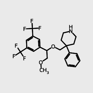 COCC(OCC1(c2ccccc2)CCNCC1)c1cc(C(F)(F)F)cc(C(F)(F)F)c1